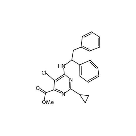 COC(=O)c1nc(C2CC2)nc(NC(Cc2ccccc2)c2ccccc2)c1Cl